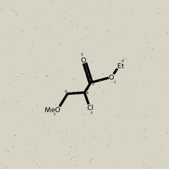 CCOC(=O)C(Cl)COC